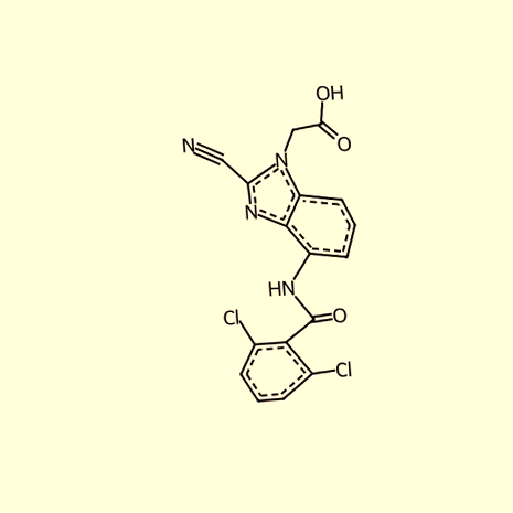 N#Cc1nc2c(NC(=O)c3c(Cl)cccc3Cl)cccc2n1CC(=O)O